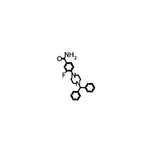 NC(=O)c1ccc(N2CCN(C(c3ccccc3)c3ccccc3)CC2)c(F)c1